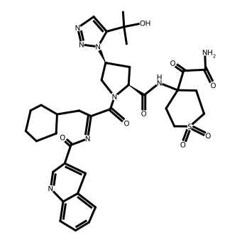 CC(C)(O)c1cnnn1[C@H]1C[C@@H](C(=O)NC2(C(=O)C(N)=O)CCS(=O)(=O)CC2)N(C(=O)/C(CC2CCCCC2)=N/C(=O)c2cnc3ccccc3c2)C1